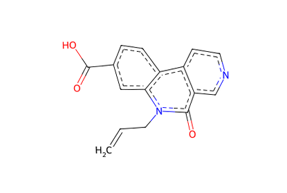 C=CCn1c(=O)c2cnccc2c2ccc(C(=O)O)cc21